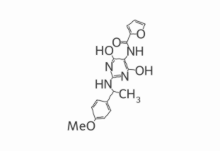 COc1ccc(C(C)Nc2nc(O)c(NC(=O)c3ccco3)c(O)n2)cc1